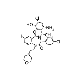 CC(c1cc(O)c(Cl)cc1N)N1C(=O)c2cc(I)ccc2N(CCN2CCOCC2)C(=O)[C@@H]1c1ccc(Cl)cc1